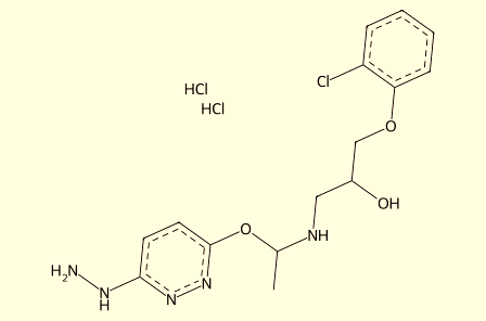 CC(NCC(O)COc1ccccc1Cl)Oc1ccc(NN)nn1.Cl.Cl